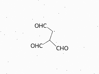 O=C[CH]C(C=O)C=O